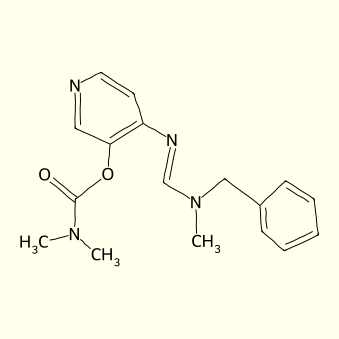 CN(C=Nc1ccncc1OC(=O)N(C)C)Cc1ccccc1